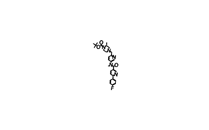 C[C@H]1CN(Cc2ccc(N(C)C(=O)c3ccc(-c4ccc(F)cc4)nc3)cn2)CCN1C(=O)OC(C)(C)C